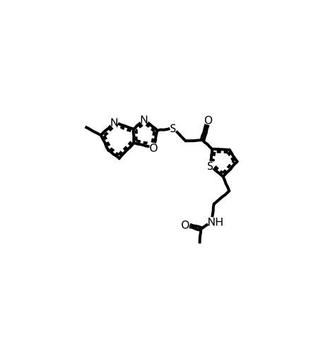 CC(=O)NCCc1ccc(C(=O)CSc2nc3nc(C)ccc3o2)s1